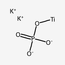 O=P([O-])([O-])[O][Ti].[K+].[K+]